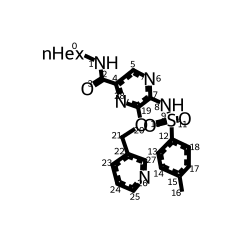 CCCCCCNC(=O)c1cnc(NS(=O)(=O)c2ccc(C)cc2)c(OCc2cccnc2)n1